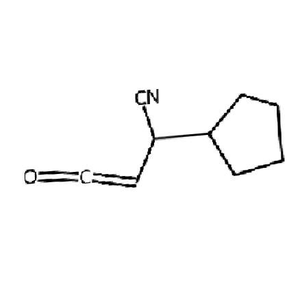 N#CC(C=C=O)C1CCCC1